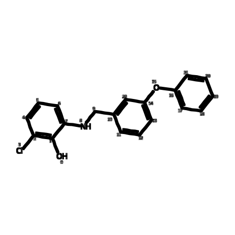 Oc1c(Cl)cccc1NCc1cccc(Oc2ccccc2)c1